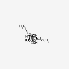 CCCCCCCCCCCC(=O)NC(CCC(=O)O)C(=O)N(C(=O)C(CCC(=O)O)NC(=O)CCCCCCCCCCC)C(CCCCN)C(=O)O